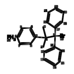 CC(C)(c1ccccc1)C(Br)(c1ccccc1)c1ccccc1.P